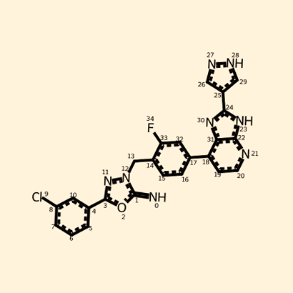 N=c1oc(-c2cccc(Cl)c2)nn1Cc1ccc(-c2ccnc3[nH]c(-c4cn[nH]c4)nc23)cc1F